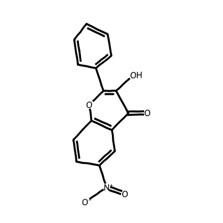 O=c1c(O)c(-c2ccccc2)oc2ccc([N+](=O)[O-])cc12